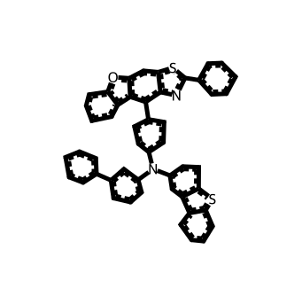 c1ccc(-c2cccc(N(c3ccc(-c4c5nc(-c6ccccc6)sc5cc5oc6ccccc6c45)cc3)c3ccc4sc5ccccc5c4c3)c2)cc1